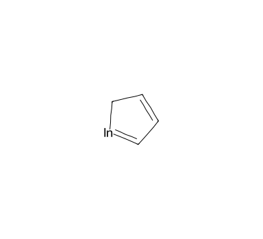 C1=C[CH2][In]=[CH]1